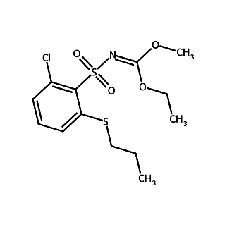 CCCSc1cccc(Cl)c1S(=O)(=O)N=C(OC)OCC